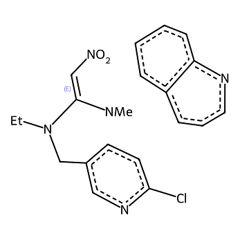 CCN(Cc1ccc(Cl)nc1)/C(=C/[N+](=O)[O-])NC.c1ccc2ncccc2c1